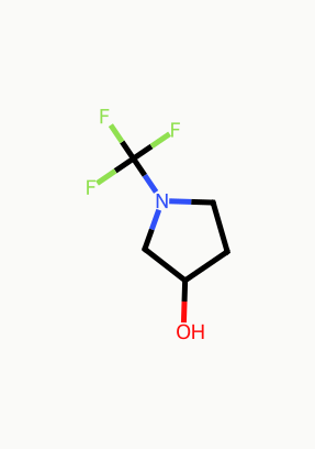 OC1CCN(C(F)(F)F)C1